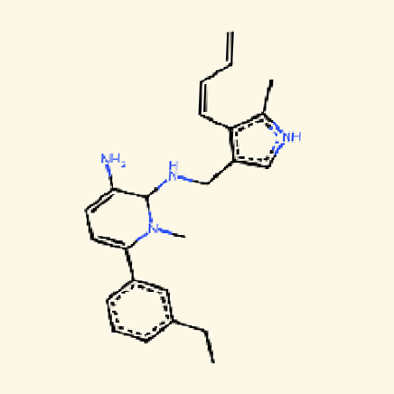 C=C/C=C\c1c(CNC2C(N)=CC=C(c3cccc(CC)c3)N2C)c[nH]c1C